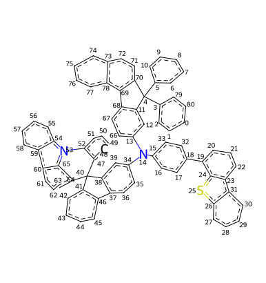 c1ccc(C2(c3ccccc3)c3cc(N(c4ccc(-c5cccc6c5sc5ccccc56)cc4)c4ccc5c(c4)C4(c6ccccc6-5)c5ccccc5-n5c6ccccc6c6cccc4c65)ccc3-c3c2ccc2ccccc32)cc1